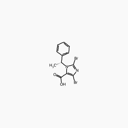 C[C@H](c1ccccc1)n1c(Br)nc(Br)c1C(=O)O